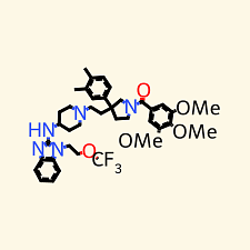 COc1cc(C(=O)N2CCC(CCN3CCC(Nc4nc5ccccc5n4CCOC(F)(F)F)CC3)(c3ccc(C)c(C)c3)C2)cc(OC)c1OC